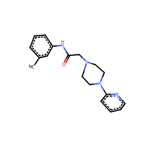 N#Cc1cccc(NC(=O)CN2CCN(c3ccccn3)CC2)c1